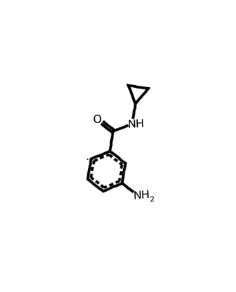 Nc1cc[c]c(C(=O)NC2CC2)c1